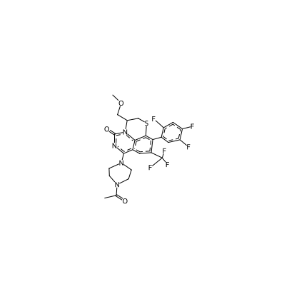 COCC1CSc2c(-c3cc(F)c(F)cc3F)c(C(F)(F)F)cc3c(N4CCN(C(C)=O)CC4)nc(=O)n1c23